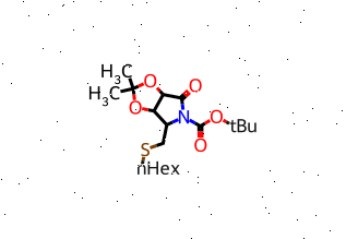 CCCCCCSCC1C2OC(C)(C)OC2C(=O)N1C(=O)OC(C)(C)C